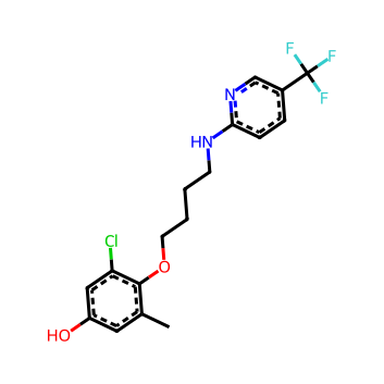 Cc1cc(O)cc(Cl)c1OCCCCNc1ccc(C(F)(F)F)cn1